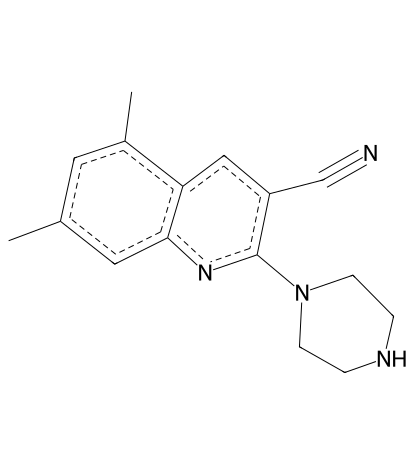 Cc1cc(C)c2cc(C#N)c(N3CCNCC3)nc2c1